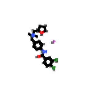 C[N+](C)(Cc1ccc(NC(=O)c2ccc(Cl)c(Cl)c2)cc1)C[C@H]1CCCO1.[I-]